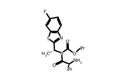 CC(C)OC(=O)N(C(=O)[C@@H](N)C(C)C)[C@H](C)c1nc2ccc(F)cc2s1